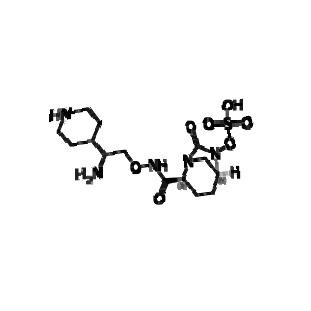 NC(CONC(=O)[C@@H]1CC[C@H]2CN1C(=O)N2OS(=O)(=O)O)C1CCNCC1